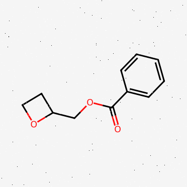 O=C(OCC1CCO1)c1ccccc1